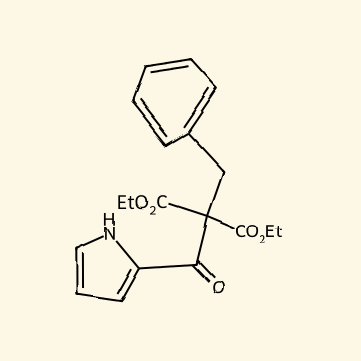 CCOC(=O)C(Cc1ccccc1)(C(=O)OCC)C(=O)c1ccc[nH]1